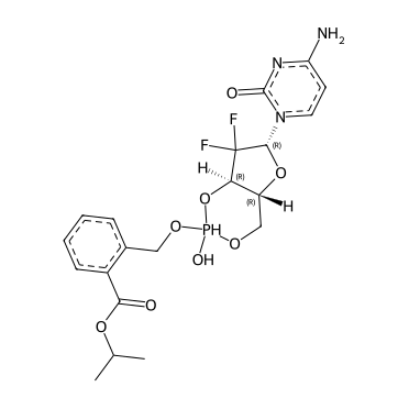 CC(C)OC(=O)c1ccccc1CO[PH]1(O)OC[C@H]2O[C@@H](n3ccc(N)nc3=O)C(F)(F)[C@@H]2O1